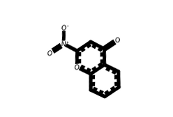 O=c1cc([N+](=O)[O-])oc2ccccc12